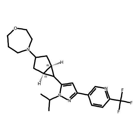 CC(C)n1nc(-c2ccc(C(F)(F)F)nc2)cc1C1[C@H]2CC(N3CCCOCC3)C[C@@H]12